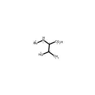 CCC(C)NC(C(=O)O)C(C)O